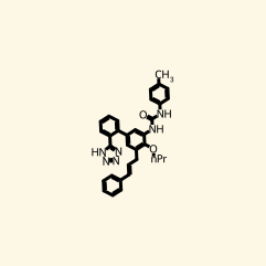 CCCOc1c(CC=Cc2ccccc2)cc(-c2ccccc2-c2nnn[nH]2)cc1NC(=O)Nc1ccc(C)cc1